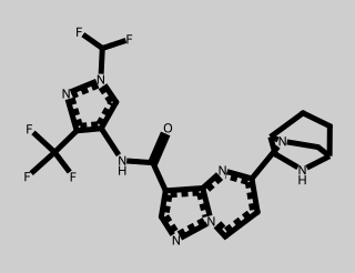 O=C(Nc1cn(C(F)F)nc1C(F)(F)F)c1cnn2ccc(N3CC4CCC3CN4)nc12